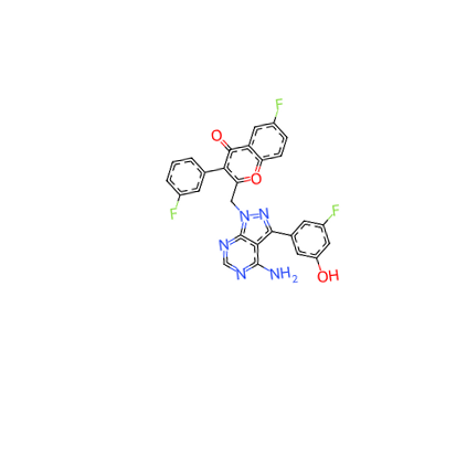 Nc1ncnc2c1c(-c1cc(O)cc(F)c1)nn2Cc1oc2ccc(F)cc2c(=O)c1-c1cccc(F)c1